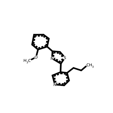 CCCc1ccncc1-c1nc(-c2ccccc2OC)cs1